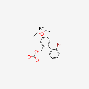 CCOCC.O=C([O-])OCc1ccccc1-c1ccccc1Br.[K+]